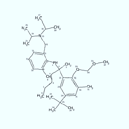 CCCCC(C)(Pc1c(C)cccc1CN(C(C)C)C(C)C)c1cc(C(C)(C)C)cc(C)c1OCOC